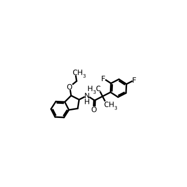 CCOC1c2ccccc2CC1NC(=O)C(C)(C)c1ccc(F)cc1F